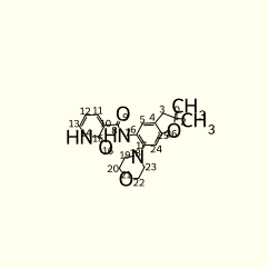 CC1(C)Cc2cc(NC(=O)c3ccc[nH]c3=O)c(N3CCOCC3)cc2O1